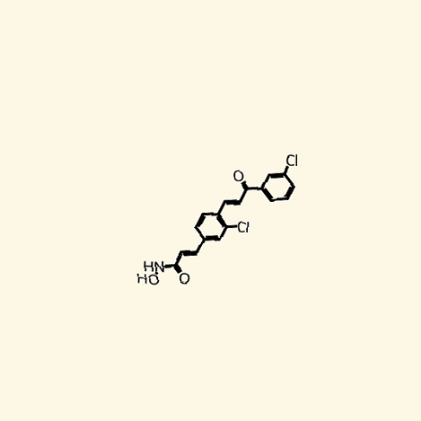 O=C(C=Cc1ccc(C=CC(=O)c2cccc(Cl)c2)c(Cl)c1)NO